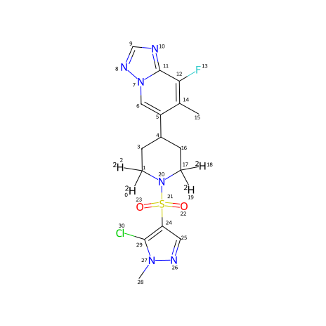 [2H]C1([2H])CC(c2cn3ncnc3c(F)c2C)CC([2H])([2H])N1S(=O)(=O)c1cnn(C)c1Cl